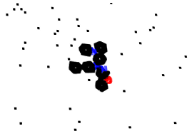 c1ccc(-c2ccc(N(c3ccc4c5ccccc5n(-c5ccccc5)c4c3)c3cc4c(cn3)oc3ccccc34)cc2)cc1